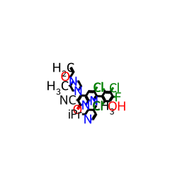 C=CC(=O)N1CCN(c2c(C#N)c(=O)n(C3C(C(C)C)=NC=CC3C)c3nc(-c4c(Cl)c(O)c(F)c(Cl)c4Cl)c(Cl)cc23)C[C@H]1C